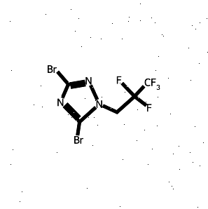 FC(F)(F)C(F)(F)Cn1nc(Br)nc1Br